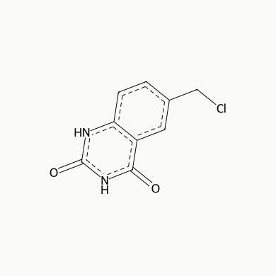 O=c1[nH]c(=O)c2cc(CCl)ccc2[nH]1